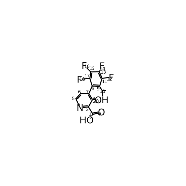 O=C(O)c1nccc(-c2c(F)c(F)c(F)c(F)c2F)c1O